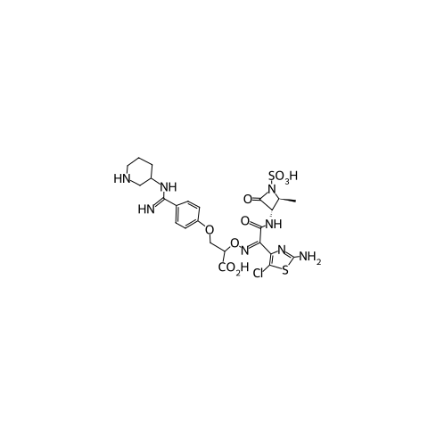 C[C@H]1[C@H](NC(=O)C(=NOC(COc2ccc(C(=N)NC3CCCNC3)cc2)C(=O)O)c2nc(N)sc2Cl)C(=O)N1S(=O)(=O)O